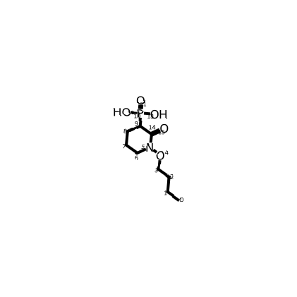 CCCCON1CCCC(P(=O)(O)O)C1=O